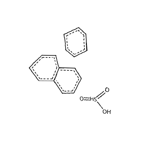 O=[SH](=O)O.c1ccc2ccccc2c1.c1ccccc1